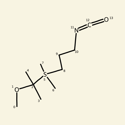 COC(C)(C)S(C)(C)CCCN=C=O